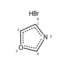 Br.c1cocn1